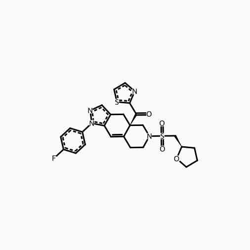 O=C(c1nccs1)[C@]12Cc3cnn(-c4ccc(F)cc4)c3C=C1CCN(S(=O)(=O)C[C@H]1CCCO1)C2